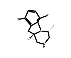 C[C@@H]1CNC[C@@H]2Cc3c(Cl)ccc(F)c3N21